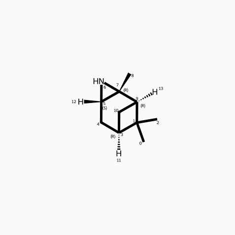 CC1(C)[C@H]2C[C@@H]3N[C@]3(C)[C@@H]1C2